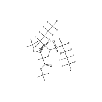 CC(C)(C)OC(=O)C(C)(CN(S(=O)(=O)C(F)(F)C(F)(F)C(F)(F)C(F)(F)F)S(=O)(=O)C(F)(F)C(F)(F)C(F)(F)C(F)(F)F)C(=O)OC(C)(C)C